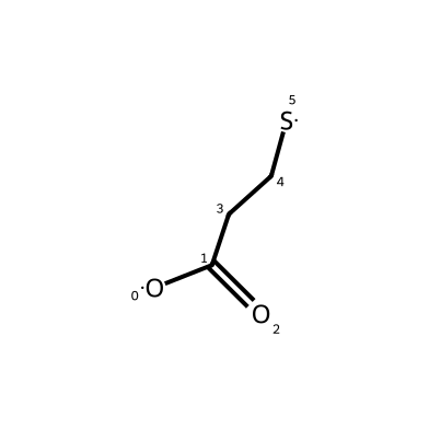 [O]C(=O)CC[S]